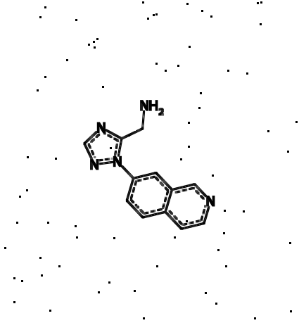 NCc1ncnn1-c1ccc2ccncc2c1